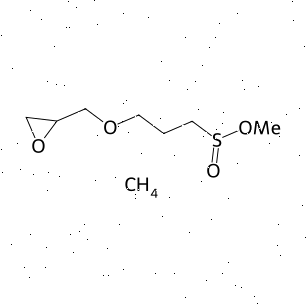 C.COS(=O)CCCOCC1CO1